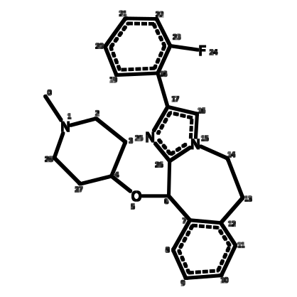 CN1CCC(OC2c3ccccc3CCn3cc(-c4ccccc4F)nc32)CC1